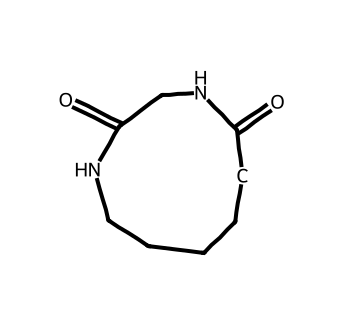 O=C1CCCCCNC(=O)CN1